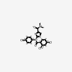 CN(C)C(=O)c1csc(N(C(=O)c2ccc(Cl)cc2Cl)c2ccc(Cl)cc2)n1